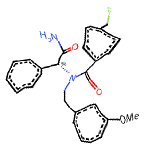 COc1cccc(CN(C(=O)c2ccc(F)cc2)[C@@H](C(N)=O)c2ccccc2)c1